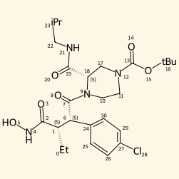 CC[C@H](C(=O)NO)[C@H](C(=O)N1CCN(C(=O)OC(C)(C)C)C[C@H]1C(=O)NCC(C)C)c1ccc(Cl)cc1